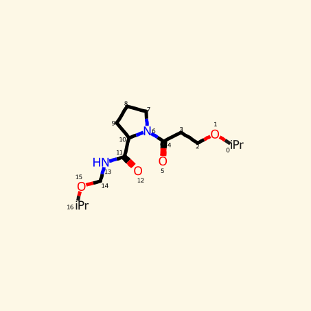 CC(C)OCCC(=O)N1CCCC1C(=O)NCOC(C)C